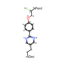 CCCCCCCCCCCCc1cnc(-c2ccc(OCC(F)C(C)CCC)cc2)nc1